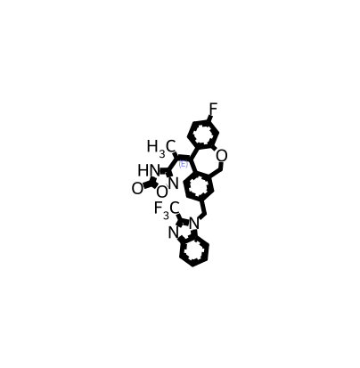 C/C(=C1/c2ccc(Cn3c(C(F)(F)F)nc4ccccc43)cc2COc2cc(F)ccc21)c1noc(=O)[nH]1